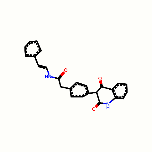 O=C(Cc1ccc(C2C(=O)Nc3ccccc3C2=O)cc1)NC=Cc1ccccc1